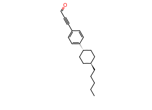 CCCCC[C@H]1CC[C@H](c2ccc(C#CC=O)cc2)CC1